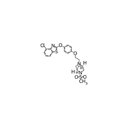 CS(=O)(=O)N1C[C@H]2C[C@@H]1CN2CCOc1ccc(Oc2nc3c(Cl)cccc3s2)cc1